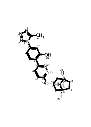 Cc1nnnn1-c1ccc(-c2ccc(O[C@@H]3C[C@H]4CC[C@@H](C3)N4)nn2)c(O)c1